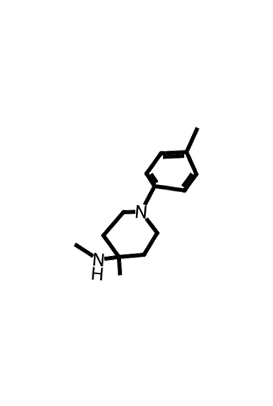 CNC1(C)CCN(c2ccc(C)cc2)CC1